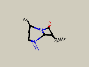 CNC1C(=O)N2C(C(C)=O)CCNC12